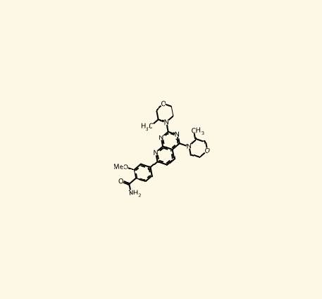 COc1cc(-c2ccc3c(N4CCOCC4C)nc(N4CCOCC4C)nc3n2)ccc1C(N)=O